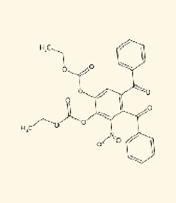 CCOC(=O)Oc1cc(C(=O)c2ccccc2)c(C(=O)c2ccccc2)c([N+](=O)[O-])c1OC(=O)OCC